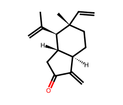 C=C[C@]1(C)CC[C@H]2C(=C)C(=O)C[C@@H]2[C@H]1C(=C)C